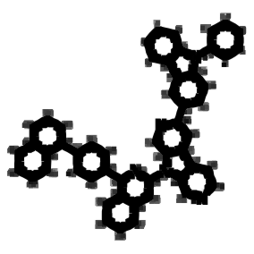 c1ccc(-n2c3ccccc3c3cc(-c4cc5c6ccncc6n(-c6cc7ccccc7c(-c7ccc(-c8cccc9ccccc89)cc7)n6)c5cn4)ccc32)cc1